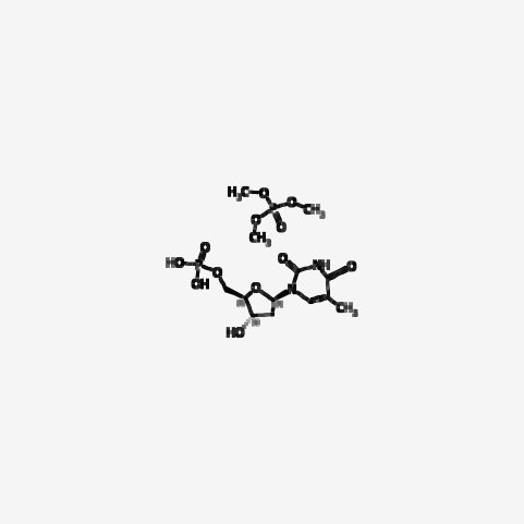 COP(=O)(OC)OC.Cc1cn([C@H]2C[C@H](O)[C@@H](COP(=O)(O)O)O2)c(=O)[nH]c1=O